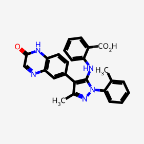 Cc1ccccc1-n1nc(C)c(-c2ccc3[nH]c(=O)cnc3c2)c1Nc1ccccc1C(=O)O